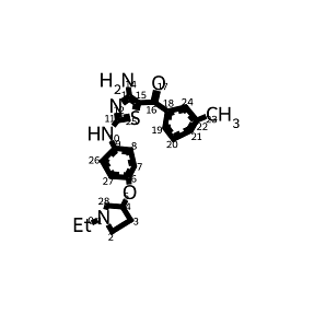 CCN1CCC(Oc2ccc(Nc3nc(N)c(C(=O)c4cccc(C)c4)s3)cc2)C1